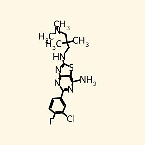 CN(C)CC(C)(C)CNc1nc2nc(-c3ccc(F)c(Cl)c3)nc(N)c2s1